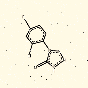 O=c1[nH]nnn1-c1ccc(F)cc1Cl